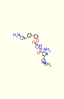 Cn1cc(-c2cnc(N)c(C(=O)N[C@@H]3CCN(C(=O)Oc4cccc(-c5cccc(CN6CC[C@@H](N)C6)c5)c4)C3)c2)cn1